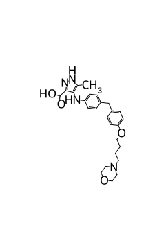 Cc1[nH]nc(C(=O)O)c1Nc1ccc(Cc2ccc(OCCCCN3CCOCC3)cc2)cc1